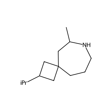 CC1CC2(CCCN1)CC(C(C)C)C2